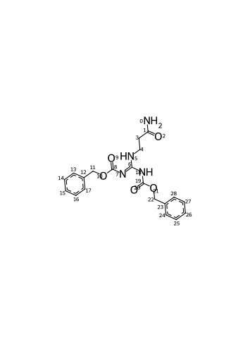 NC(=O)CCN/C(=N\C(=O)OCc1ccccc1)NC(=O)OCc1ccccc1